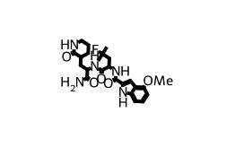 COc1cccc2[nH]c(C(=O)NC(CC(C)(C)F)C(=O)NC(CC3CCCNC3=O)C(N)=O)cc12